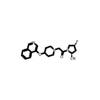 N#C[C@@H]1C[C@H](F)CN1C(=O)CN1CCC(Oc2cncc3ccccc23)CC1